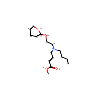 CCCCN(CCCC(=O)OC)CCOC1CCCCO1